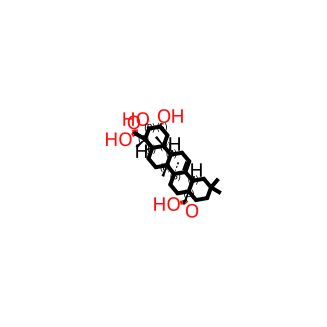 CC1(C)CC[C@]2(C(=O)O)CC[C@]3(C)C(=CC[C@@H]4[C@@]5(C)C[C@H](O)[C@H](O)[C@@](C)(C(=O)O)[C@@H]5CC[C@]43C)[C@@H]2C1